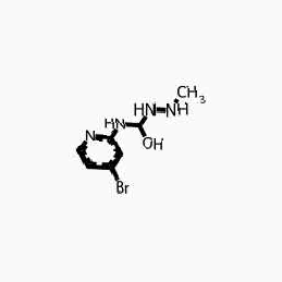 CNNC(O)Nc1cc(Br)ccn1